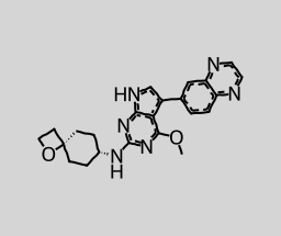 COc1nc(N[C@H]2CC[C@]3(CCO3)CC2)nc2[nH]cc(-c3ccc4nccnc4c3)c12